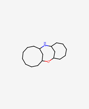 C1CCCC2CC(CCC1)OC1CCCCCC(C1)N2